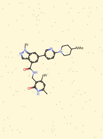 CCCc1cc(C)[nH]c(=O)c1CNC(=O)c1cc(-c2ccc(N3CCC(NC)CC3)nc2)cc2c1cnn2C(C)C